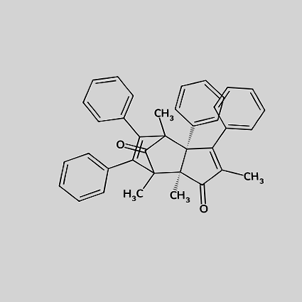 CC1=C(c2ccccc2)[C@]2(c3ccccc3)C3(C)C(=O)C(C)(C(c4ccccc4)=C3c3ccccc3)[C@]2(C)C1=O